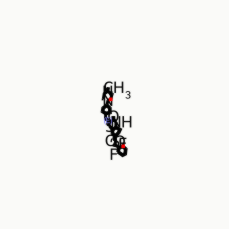 CN1CCN(c2ccc(/C=C3/Sc4cc(S(=O)(=O)Cc5c(F)cccc5F)ccc4NC3=O)cc2)CC1